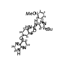 COc1cccc(-n2nc(C(C)(C)C)cc2NC(=O)Nc2ccc(Oc3ccnc4c3N=CCN4)cc2F)c1